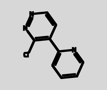 Clc1nnccc1-c1ccccn1